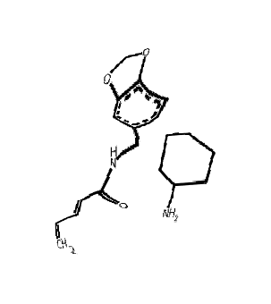 C=CC=CC(=O)NCc1ccc2c(c1)OCO2.NC1CCCCC1